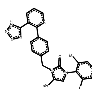 CCCc1cn(-c2c(F)cccc2CC)c(=O)n1Cc1ccc(-c2ncccc2-c2nnn[nH]2)cc1